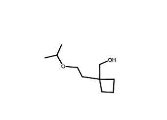 CC(C)OCCC1(CO)CCC1